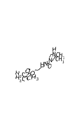 CC1(C)CN(C(=O)NCCCCOC(=O)C(C)(C)C)CCN1